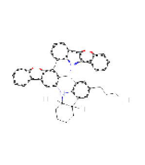 CCCCc1cc2c3c(c1)C1(C)CCCCC1(C)N3c1cc3c(oc4ccccc43)c3c1B2n1c2c-3cccc2c2oc3ccccc3c21